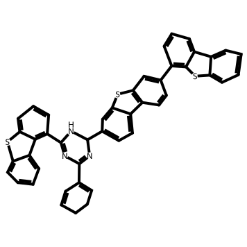 C1=CC(C2=NC(c3ccc4c(c3)sc3cc(-c5cccc6c5sc5ccccc56)ccc34)NC(c3cccc4sc5ccccc5c34)=N2)=CCC1